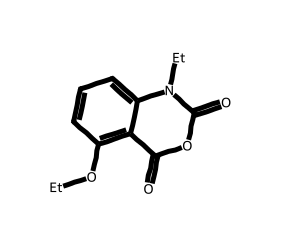 CCOc1cccc2c1c(=O)oc(=O)n2CC